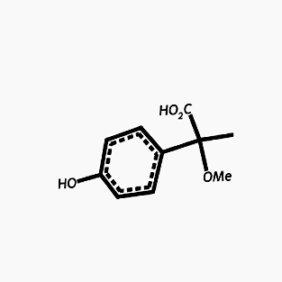 COC(C)(C(=O)O)c1ccc(O)cc1